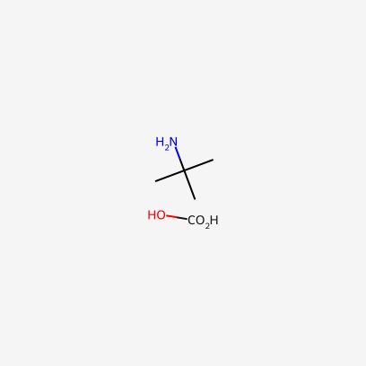 CC(C)(C)N.O=C(O)O